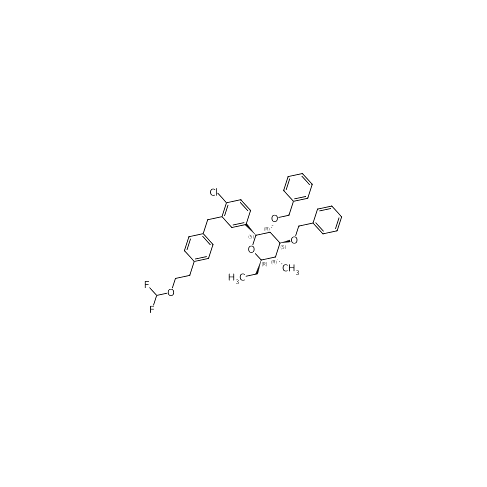 CC[C@H]1O[C@@H](c2ccc(Cl)c(Cc3ccc(CCOC(F)F)cc3)c2)[C@H](OCc2ccccc2)[C@@H](OCc2ccccc2)[C@@H]1C